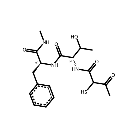 CNC(=O)[C@H](Cc1ccccc1)NC(=O)[C@@H](NC(=O)C(S)C(C)=O)C(C)O